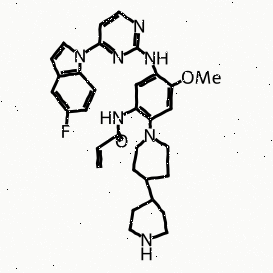 C=CC(=O)Nc1cc(Nc2nccc(-n3ccc4cc(F)ccc43)n2)c(OC)cc1N1CCC(C2CCNCC2)CC1